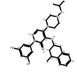 CC(C)SN1CCN(c2cnn(-c3cc(F)cc(F)c3)c(=O)c2OC2Cc3ccccc3C(C)C2)CC1